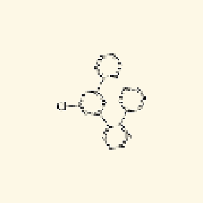 Clc1cc(-c2ccccc2)cc(-c2cccnc2-c2ccccc2)c1